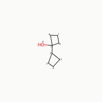 OC1(C2CCC2)[CH]CC1